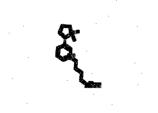 CCCCCCCCCCCCCC[n+]1cccc([C@@H]2CCC[N+]2(C)C)c1